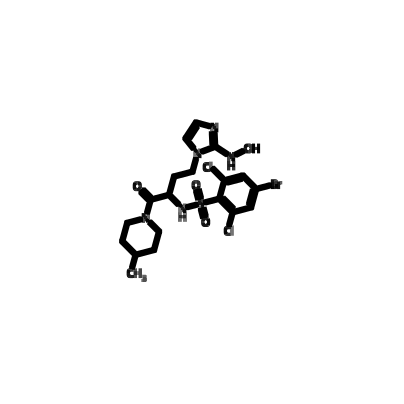 CC1CCN(C(=O)C(CCn2ccnc2NO)NS(=O)(=O)c2c(Cl)cc(Br)cc2Cl)CC1